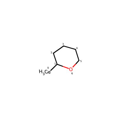 [GeH3][CH]1CCCCO1